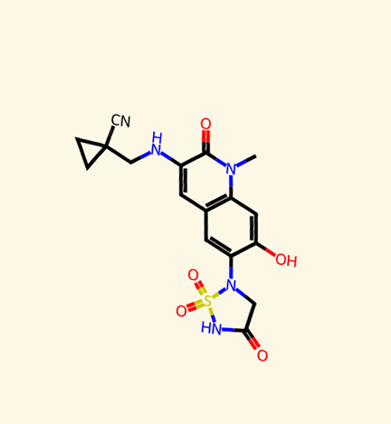 Cn1c(=O)c(NCC2(C#N)CC2)cc2cc(N3CC(=O)NS3(=O)=O)c(O)cc21